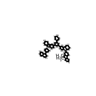 CC1(C)c2ccccc2-c2ccc(-n3c4ccccc4c4cc(-c5cc(-c6ccccc6)cc(-c6ccc7c(c6)c6ccccc6n7-c6ccc(-c7cccc8ccccc78)cc6)c5)ccc43)cc21